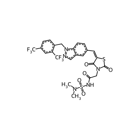 CN(C)S(=O)(=O)NC(=O)CN1C(=O)SC(=Cc2ccc3c(cnn3Cc3ccc(C(F)(F)F)cc3C(F)(F)F)c2)C1=O